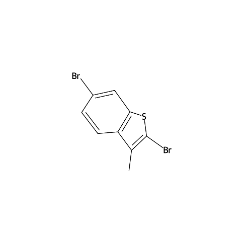 Cc1c(Br)sc2cc(Br)ccc12